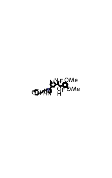 COc1cc(OC)c(F)c(C(O)C2=CN=C3N=CC(/C(C=N)=C/NCCN4CCOCC4)=CC23)c1F